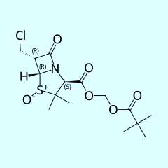 CC(C)(C)C(=O)OCOC(=O)[C@@H]1N2C(=O)[C@@H](CCl)[C@H]2[S+]([O-])C1(C)C